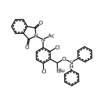 CC(=O)N(c1ccc(Cl)c(C(O[SiH](c2ccccc2)c2ccccc2)C(C)(C)C)c1Cl)N1C(=O)c2ccccc2C1=O